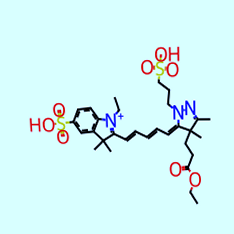 CCOC(=O)CCC1(C)C(C)=NN(CCCS(=O)(=O)O)\C1=C/C=C/C=C/C1=[N+](CC)c2ccc(S(=O)(=O)O)cc2C1(C)C